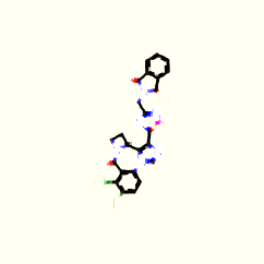 O=C1c2ccccc2C(=O)N1Cc1noc(-c2ncn3c2[C@@H]2CCN2C(=O)c2c-3ccc(F)c2Cl)n1